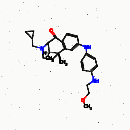 COCCNc1ccc(Nc2ccc3c(c2)[C@]2(C)CCN(CC4CC4)C(C3=O)[C@@H]2C)cc1